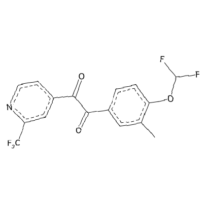 Cc1cc(C(=O)C(=O)c2ccnc(C(F)(F)F)c2)ccc1OC(F)F